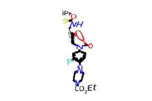 CCOC(=O)N1CCN(c2ccc(N3C[C@H](CNC(=S)OC(C)C)OC3=O)cc2F)CC1